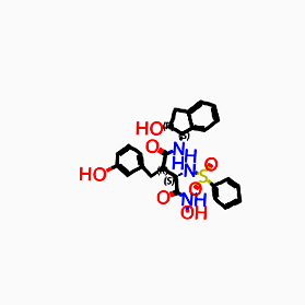 O=C(NO)[C@@H](NS(=O)(=O)c1ccccc1)[C@@H](Cc1cccc(O)c1)C(=O)N[C@H]1c2ccccc2C[C@H]1O